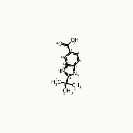 CC(C)(C)c1nc2ccc(C(=O)O)cc2[nH]1